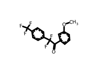 COc1cccc(C(=O)C(F)(F)c2ccc(C(F)(F)F)cc2)c1